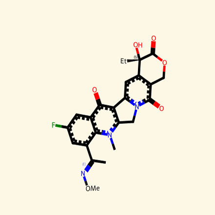 CC[C@@]1(O)C(=O)OCc2c1cc1n(c2=O)Cc2c-1c(=O)c1cc(F)cc(/C(C)=N/OC)c1n2C